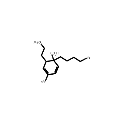 CCCC1=CC(CCOC)C(CCCCC(C)C)(C(=O)O)C=C1